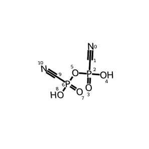 N#CP(=O)(O)OP(=O)(O)C#N